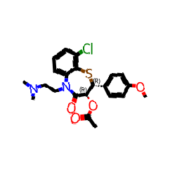 COc1ccc([C@H]2Sc3c(Cl)cccc3N(CCN(C)C)C(=O)[C@H]2OC(C)=O)cc1